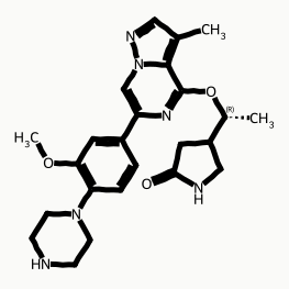 COc1cc(-c2cn3ncc(C)c3c(O[C@H](C)C3CNC(=O)C3)n2)ccc1N1CCNCC1